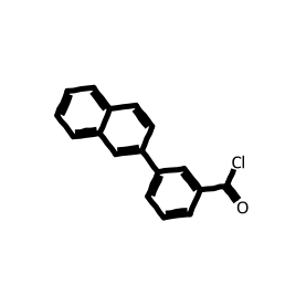 O=C(Cl)c1cccc(-c2ccc3ccccc3c2)c1